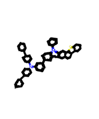 c1ccc(-c2ccc(N(c3ccc(-c4ccccc4)cc3)c3cccc(-c4ccc5c(c4)c4cc6ccc7c8ccccc8sc7c6cc4n5-c4ccccc4)c3)cc2)cc1